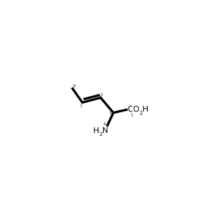 CC=CC(N)C(=O)O